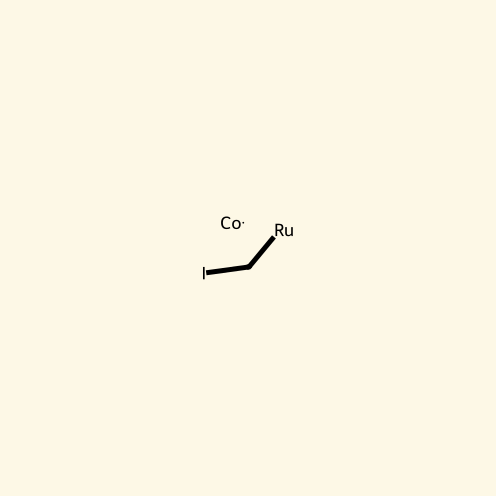 [Co].[Ru][CH2]I